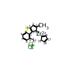 CC1=Cc2sc3cccc(I)c3c2[CH]1[Zr+2][C]1=CC=CC1.[Cl-].[Cl-]